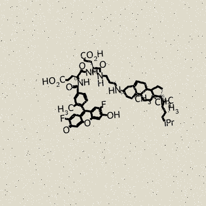 Cc1cc(C(=O)N[C@@H](CCC(=O)O)C(=O)N[C@@H](CCC(=O)O)C(=O)NCCCN[C@H]2CC[C@@]3(C)C(=CCC4C3CC[C@@]3(C)C4CC[C@@H]3[C@H](C)CCCC(C)C)C2)ccc1-c1c2cc(F)c(=O)cc-2oc2cc(O)c(F)cc12